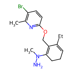 CCC1=CCCC(N(C)N)=C1COc1ccc(Br)c(C)n1